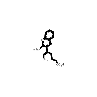 C/C=C(\CCCC(=O)O)c1cc2ccccc2nc1CCCCCC